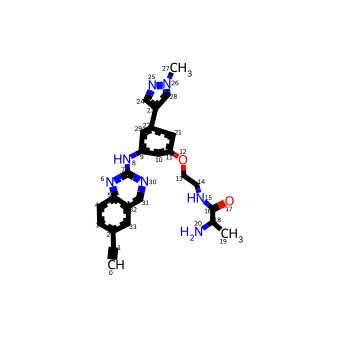 C#Cc1ccc2nc(Nc3cc(OCCNC(=O)C(C)N)cc(-c4cnn(C)c4)c3)ncc2c1